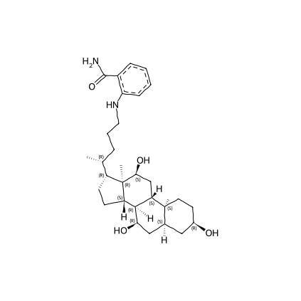 C[C@H](CCCNc1ccccc1C(N)=O)[C@H]1CC[C@H]2[C@@H]3[C@H](O)C[C@@H]4C[C@H](O)CC[C@]4(C)[C@H]3C[C@H](O)[C@]12C